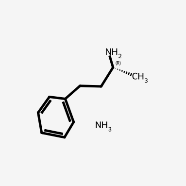 C[C@@H](N)CCc1ccccc1.N